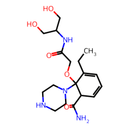 CCC1=CC=CC(C(N)=O)C1(OCC(=O)NC(CO)CO)N1CCNCC1